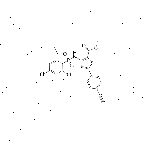 C#Cc1ccc(-c2cc(NP(=O)(OCC)c3ccc(Cl)cc3Cl)c(C(=O)OC)s2)cc1